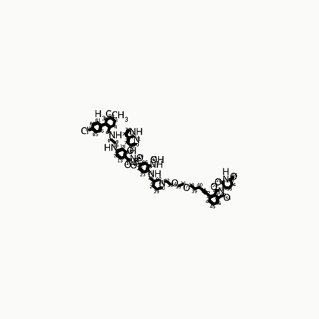 CC1(C)CCC(CNCCNc2ccc(C(=O)NS(=O)(=O)c3ccc(NCC4CCCN(CCOCCOCCCC#Cc5cccc6c5C(=O)N(C5CCC(=O)NC5=O)C6=O)C4)c(NO)c3)c(Oc3cnc4[nH]ccc4c3)c2)=C(c2ccc(Cl)cc2)C1